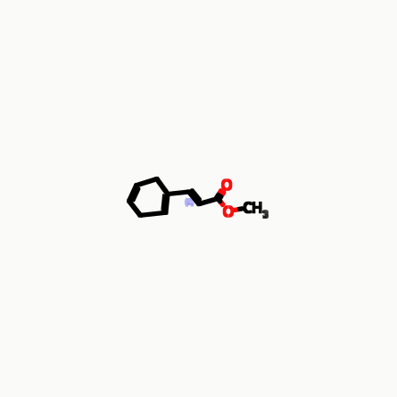 COC(=O)/C=C/C1=CCC=CC1